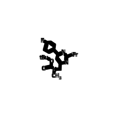 CC(C)c1nc(CN(C)C(=O)OC(C)(C)C)cc(-c2ccc(F)cc2)n1